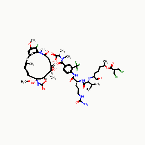 COc1cc2cc(c1Cl)N(C)C(=O)C[C@H](OC(=O)[C@H](C)N(C)C(=O)c1ccc(NC(=O)[C@H](CCCNC(N)=O)NC(=O)[C@@H](NC(C=O)CCCC(C)OC(=O)C(CBr)CBr)C(C)C)c(C(F)(F)F)c1)[C@]1(C)O[C@H]1[C@H](C)[C@@H]1C[C@@](O)(NC(O)O1)[C@H](OC)/C=C/C=C(\C)C2